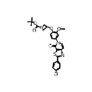 COc1cc(-n2ccc3nc(-c4ccc(Cl)cc4)sc3c2=O)ccc1OC1CN(C(=O)OC(C)(C)C)C1